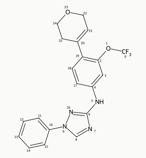 FC(F)(F)Oc1cc(Nc2ncn(-c3ccccc3)n2)ccc1C1=CCOCC1